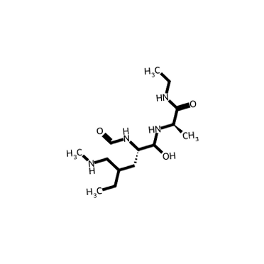 CCNC(=O)[C@@H](C)NC(O)[C@H](CC(CC)CNC)NC=O